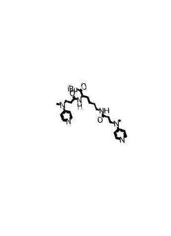 CCC(C)C(=O)C(CCCCNC(=O)CCN(C)c1ccncc1)NC(=O)CCN(C)c1ccncc1